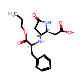 CCCOC(=O)[C@H](Cc1ccccc1)N[C@H]1CC(=O)N[C@H]1CC(=O)O